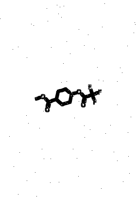 COC(=O)C1CCN(OC(=O)C(F)(F)F)CC1